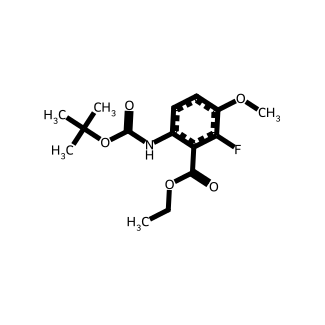 CCOC(=O)c1c(NC(=O)OC(C)(C)C)ccc(OC)c1F